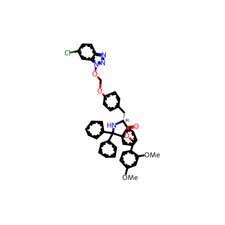 COc1ccc(COC(=O)[C@@H](Cc2ccc(OCOn3nnc4ccc(Cl)cc43)cc2)NC(c2ccccc2)(c2ccccc2)c2ccccc2)c(OC)c1